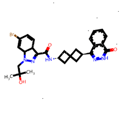 CC(C)(O)CN1N=C(C(=O)N[C@H]2CC3(C2)C[C@H](c2n[nH]c(=O)c4ccccc42)C3)C2C=CC(Br)=CC21